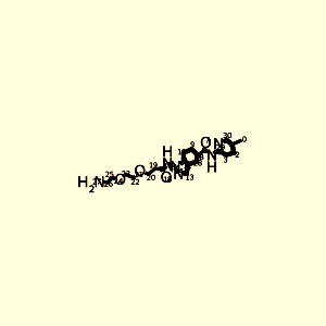 Cc1ccc(NC(=O)c2ccc3c(cnn3NC(=O)CCOCCOCCN)c2)nc1